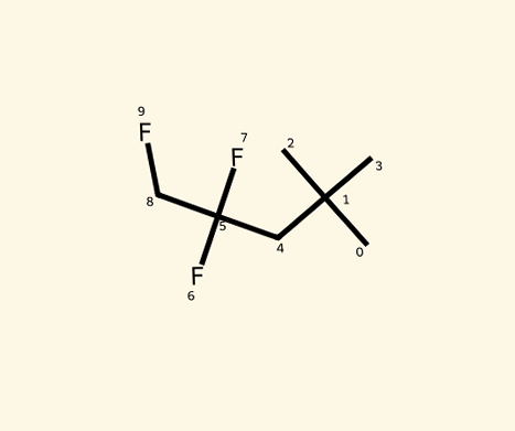 CC(C)(C)CC(F)(F)CF